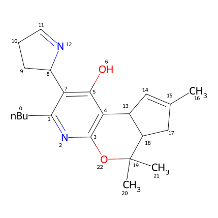 CCCCc1nc2c(c(O)c1C1CCC=N1)C1C=C(C)CC1C(C)(C)O2